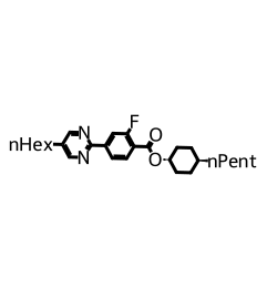 CCCCCCc1cnc(-c2ccc(C(=O)O[C@H]3CC[C@H](CCCCC)CC3)c(F)c2)nc1